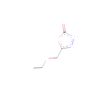 CCOCc1n[nH]c(=O)o1